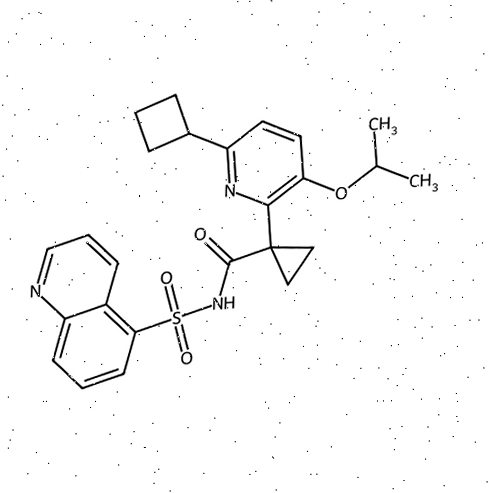 CC(C)Oc1ccc(C2CCC2)nc1C1(C(=O)NS(=O)(=O)c2cccc3ncccc23)CC1